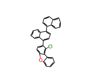 Clc1c(-c2ccc(-c3cccc4ccccc34)c3ccccc23)ccc2oc3ccccc3c12